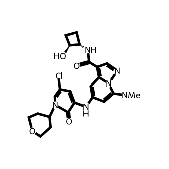 CNc1cc(Nc2cc(Cl)cn(C3CCOCC3)c2=O)cc2c(C(=O)N[C@H]3CC[C@@H]3O)cnn12